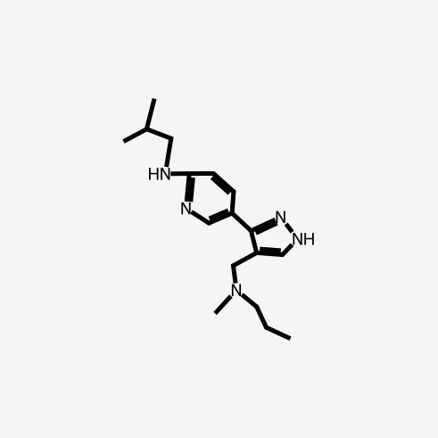 CCCN(C)Cc1c[nH]nc1-c1ccc(NCC(C)C)nc1